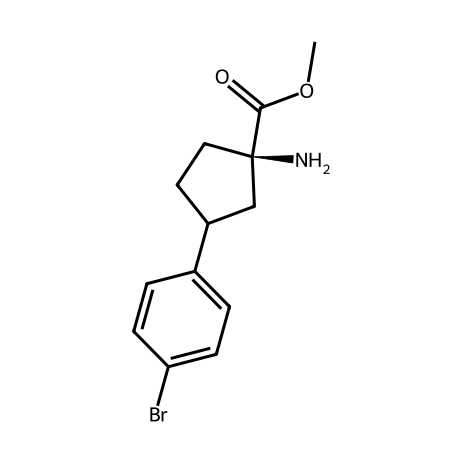 COC(=O)[C@@]1(N)CCC(c2ccc(Br)cc2)C1